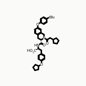 CC(C)(C)c1ccc(Oc2ccc3c(c2)CN(C(=O)CC2CCCC2)[C@H](C(=O)N[C@@H](Cc2ccc(OC4CCCC4)cc2)C(=O)O)C3)cc1